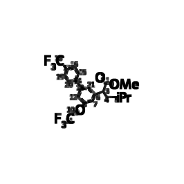 COC(=O)C(CC(C)C)c1cc(OCC(F)(F)F)cc(-c2ccc(C(F)(F)F)cc2)c1